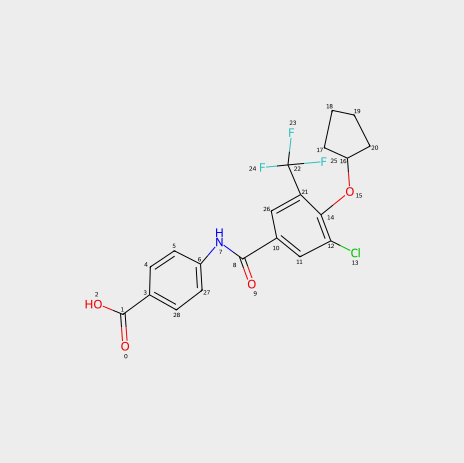 O=C(O)c1ccc(NC(=O)c2cc(Cl)c(OC3CCCC3)c(C(F)(F)F)c2)cc1